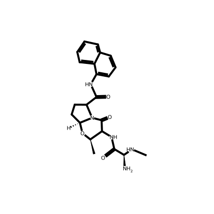 CN[C@@H](N)C(=O)NC1C(=O)N2C(C(=O)Nc3cccc4ccccc34)CC[C@@H]2O[C@@H]1C